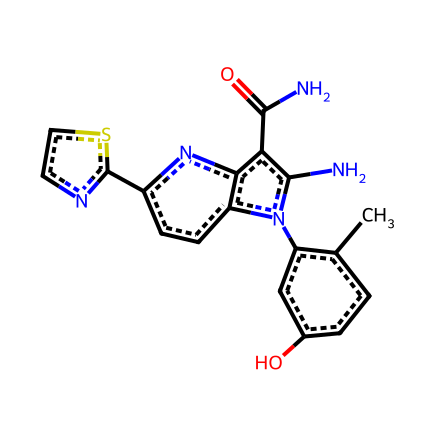 Cc1ccc(O)cc1-n1c(N)c(C(N)=O)c2nc(-c3nccs3)ccc21